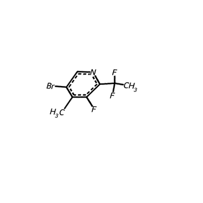 Cc1c(Br)cnc(C(C)(F)F)c1F